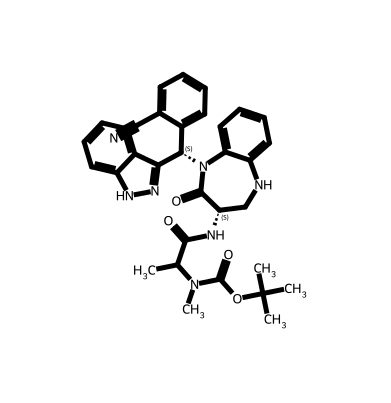 CC(C(=O)N[C@H]1CNc2ccccc2N([C@@H](c2ccccc2C#N)c2n[nH]c3ccccc23)C1=O)N(C)C(=O)OC(C)(C)C